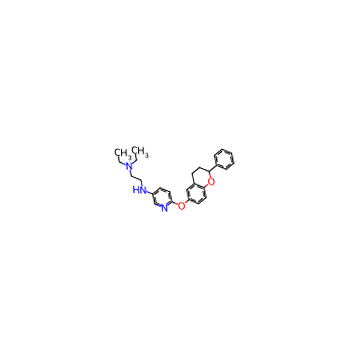 CCN(CC)CCNc1ccc(Oc2ccc3c(c2)CCC(c2ccccc2)O3)nc1